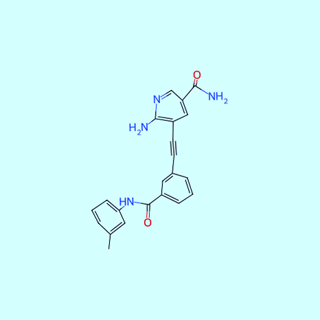 Cc1cccc(NC(=O)c2cccc(C#Cc3cc(C(N)=O)cnc3N)c2)c1